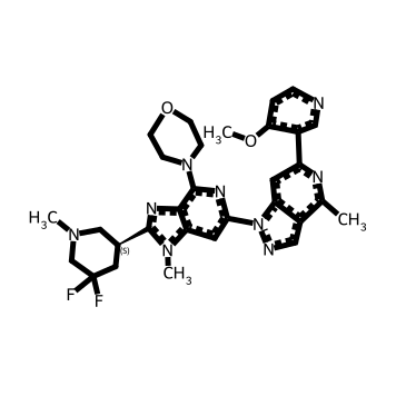 COc1ccncc1-c1cc2c(cnn2-c2cc3c(nc([C@@H]4CN(C)CC(F)(F)C4)n3C)c(N3CCOCC3)n2)c(C)n1